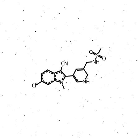 Cn1c(C2=CNCC(CNS(C)(=O)=O)=C2)c(C#N)c2ccc(Cl)cc21